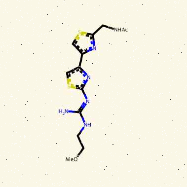 COCCN/C(N)=N/c1nc(-c2csc(CNC(C)=O)n2)cs1